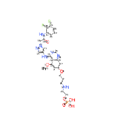 CC(C)Oc1cc(OCCCNCCOP(=O)(O)O)cc2ncnc(Nc3cnn(CC(=O)Nc4cccc(F)c4F)c3)c12